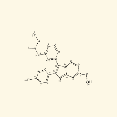 CC(C)CC(C)Nc1nccc(-c2c(-c3ccc(F)cc3)nc3cc(CO)ccn23)n1